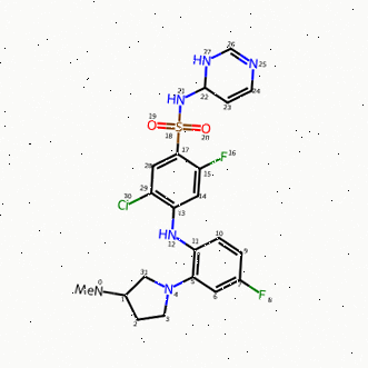 CNC1CCN(c2cc(F)ccc2Nc2cc(F)c(S(=O)(=O)NC3C=CN=CN3)cc2Cl)C1